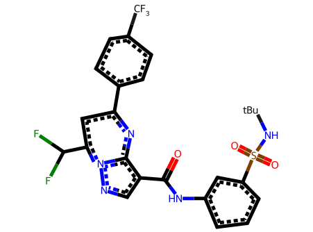 CC(C)(C)NS(=O)(=O)c1cccc(NC(=O)c2cnn3c(C(F)F)cc(-c4ccc(C(F)(F)F)cc4)nc23)c1